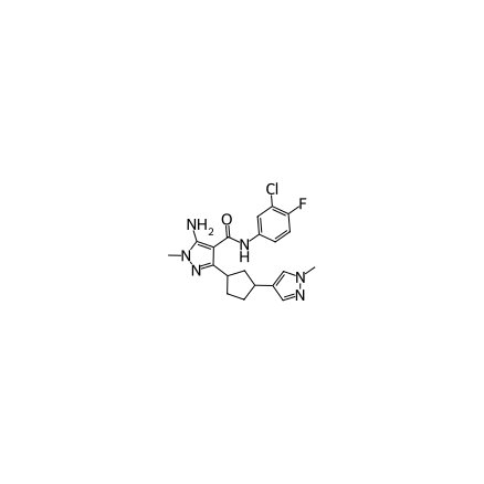 Cn1cc(C2CCC(c3nn(C)c(N)c3C(=O)Nc3ccc(F)c(Cl)c3)C2)cn1